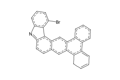 Brc1cccc2c1-c1c(ccc3cc4c5c(c6ccccc6c4cc13)=CC=CC5)=N2